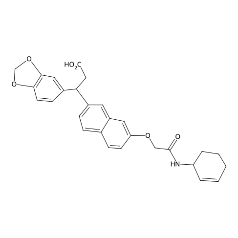 O=C(O)CC(c1ccc2c(c1)OCO2)c1ccc2ccc(OCC(=O)NC3C=CCCC3)cc2c1